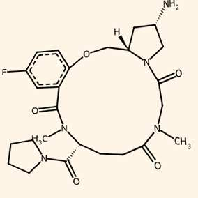 CN1CC(=O)N2C[C@@H](N)C[C@H]2COc2ccc(F)cc2C(=O)N(C)[C@@H](C(=O)N2CCCC2)CCC1=O